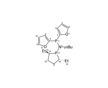 CCCCN(P(c1ccco1)c1ccco1)P1[C@H](CC)CC[C@H]1CC